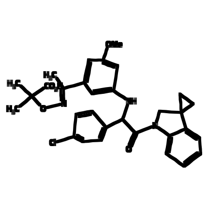 COc1cc(NC(C(=O)N2CC3(CC3)c3ccccc32)c2ccc(Cl)cc2)cc(C(C)=NOC(C)(C)C(=O)O)c1